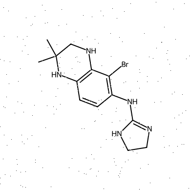 CC1(C)CNc2c(ccc(NC3=NCCN3)c2Br)N1